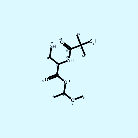 COC(C)OC(=O)C(CS)NC(=O)C(C)(C)S